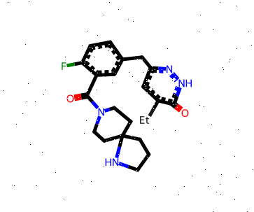 CCc1cc(Cc2ccc(F)c(C(=O)N3CCC4(CCCN4)CC3)c2)n[nH]c1=O